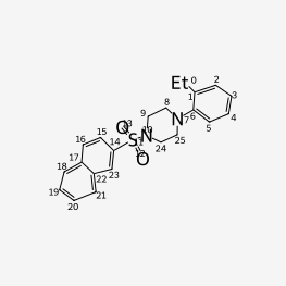 CCc1ccccc1N1CCN(S(=O)(=O)c2ccc3ccccc3c2)CC1